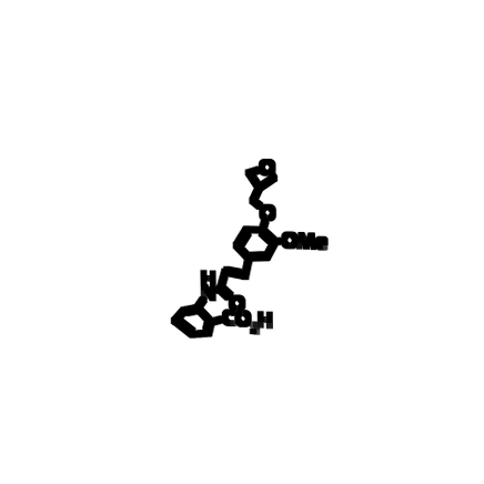 COc1cc(C=CC(=O)Nc2ccccc2C(=O)O)ccc1OCC1COC1